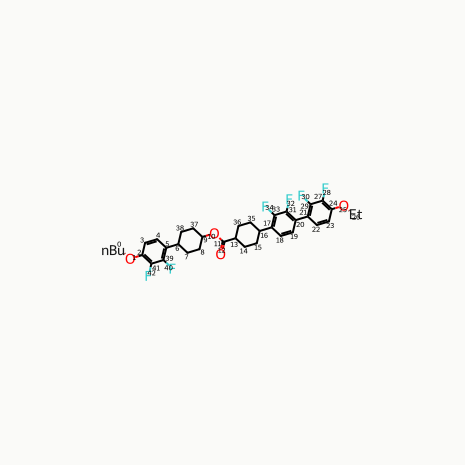 CCCCOc1ccc(C2CCC(OC(=O)C3CCC(c4ccc(-c5ccc(OCC)c(F)c5F)c(F)c4F)CC3)CC2)c(F)c1F